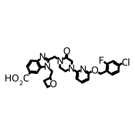 O=C(O)c1ccc2nc(CN3CCN(c4cccc(OCc5ccc(Cl)cc5F)n4)CC3=O)n(CC3CCO3)c2c1